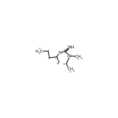 CCCC(F)SC(=N)N(C)CC